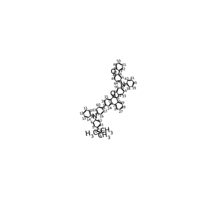 C[Si](C)(C)c1ccc(N(c2ccccc2)c2ccc(-c3ccc4c(c3)c3ccccc3c3c5ccc(N(c6ccccc6)c6ccc7oc8ccccc8c7c6)cc5oc43)cc2)cc1